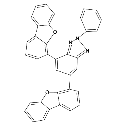 c1ccc(-n2nc3cc(-c4cccc5c4oc4ccccc45)cc(-c4cccc5c4oc4ccccc45)c3n2)cc1